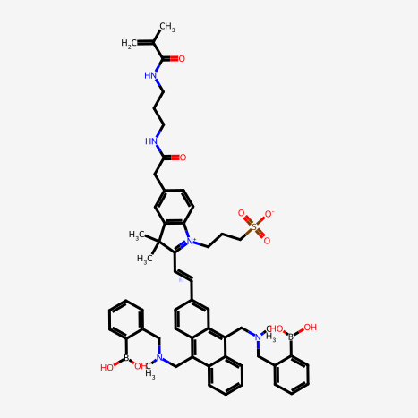 C=C(C)C(=O)NCCCNC(=O)Cc1ccc2c(c1)C(C)(C)C(/C=C/c1ccc3c(CN(C)Cc4ccccc4B(O)O)c4ccccc4c(CN(C)Cc4ccccc4B(O)O)c3c1)=[N+]2CCCS(=O)(=O)[O-]